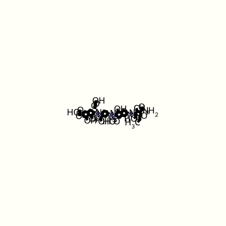 CCn1c(O)c(/N=N/c2ccc3c(O)c(/N=N/c4ccc(/N=N/c5c(SOOO)cc6cc(S(=O)(=O)O)cc(O)c6c5O)c(C(=O)O)c4)c(S(=O)(=O)O)cc3c2)c(C)c(C(N)=O)c1=O